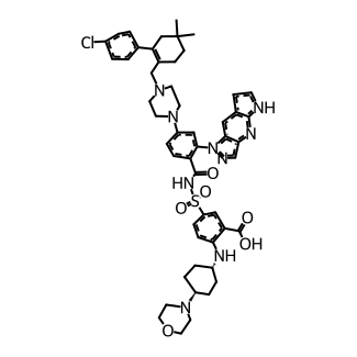 CC1(C)CCC(CN2CCN(c3ccc(C(=O)NS(=O)(=O)c4ccc(N[C@H]5CC[C@H](N6CCOCC6)CC5)c(C(=O)O)c4)c(-n4ncc5nc6[nH]ccc6cc54)c3)CC2)=C(c2ccc(Cl)cc2)C1